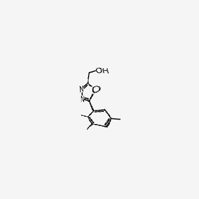 Cc1cc(C)c(C)c(-c2nnc(CO)o2)c1